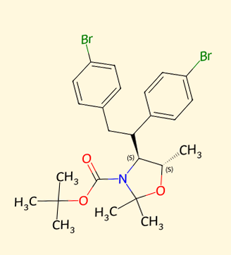 C[C@@H]1OC(C)(C)N(C(=O)OC(C)(C)C)[C@H]1C(Cc1ccc(Br)cc1)c1ccc(Br)cc1